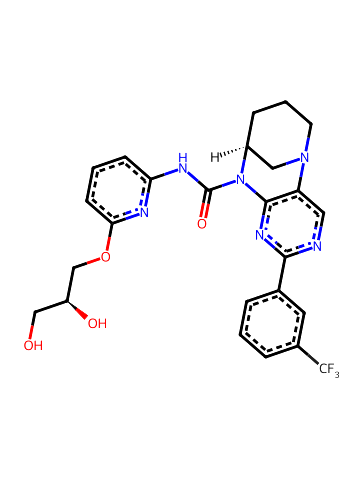 O=C(Nc1cccc(OC[C@@H](O)CO)n1)N1c2nc(-c3cccc(C(F)(F)F)c3)ncc2N2CCC[C@H]1C2